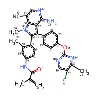 C=C(C)C(=O)Nc1ccc(-c2c(-c3ccc(Oc4ncc(Cl)c(C)n4)cc3)c3c(N)ncc(C#N)c3n2C)c(C)c1